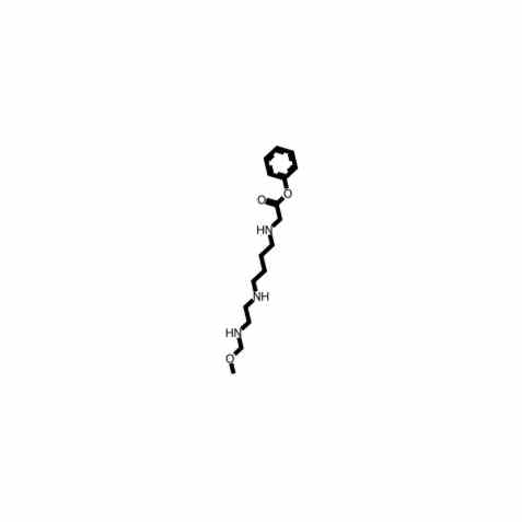 COCNCCNCCCCNCC(=O)Oc1ccccc1